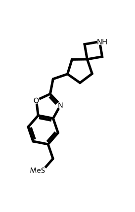 CSCc1ccc2oc(CC3CCC4(CNC4)C3)nc2c1